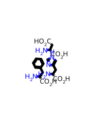 NC(CC(=O)O)C(=O)O.NC(Cc1c[nH]cn1)C(=O)O.NC(Cc1ccccc1)C(=O)O